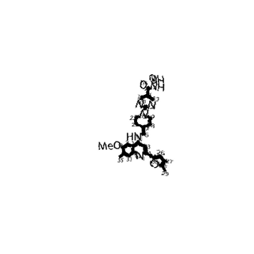 COc1cc2c(NCC3CCN(c4ncc(C(=O)NO)cn4)CC3)cc(-c3ccc(C)o3)nc2cc1C